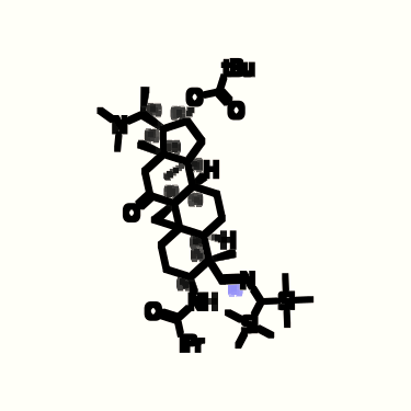 CC(C)C(=O)N[C@H]1CCC23C[C@]24C(=O)C[C@]2(C)[C@@H]([C@H](C)N(C)C)[C@H](OC(=O)C(C)(C)C)C[C@@]2(C)[C@@H]4CC[C@H]3[C@]1(C)/C=N/C([Si](C)(C)C)[Si](C)(C)C